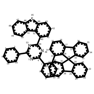 c1ccc(-c2nc(-c3ccccc3-c3cccc4c3C3(c5ccccc5-c5ccccc53)c3ccccc3-4)nc(-c3cccc4sc5ccccc5c34)n2)cc1